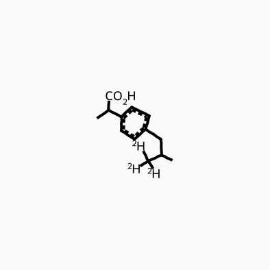 [2H]C([2H])([2H])C(C)Cc1ccc(C(C)C(=O)O)cc1